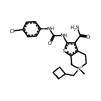 C[N+]1(CC2CCC2)CCc2c(sc(NC(=O)Nc3ccc(Cl)cc3)c2C(N)=O)C1